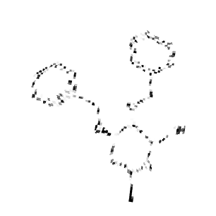 C[C@H]1C[C@@H](OCc2ccccc2)[C@H](OCc2ccccc2)C(O)O1